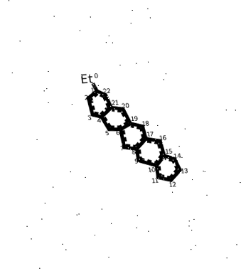 CCc1ccc2cc3cc4cc5ccccc5cc4cc3cc2c1